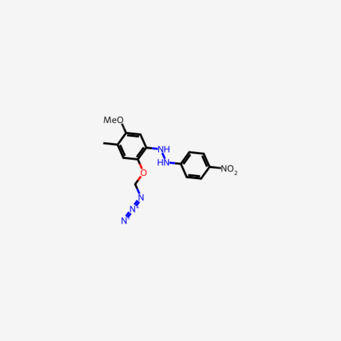 COc1cc(NNc2ccc([N+](=O)[O-])cc2)c(OCN=[N+]=[N-])cc1C